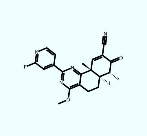 COc1nc(-c2ccnc(F)c2)nc2c1CC[C@@H]1[C@@H](C)C(=O)C(C#N)=C[C@@]21C